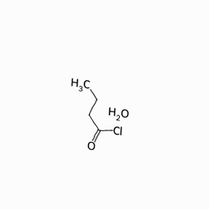 CCCC(=O)Cl.O